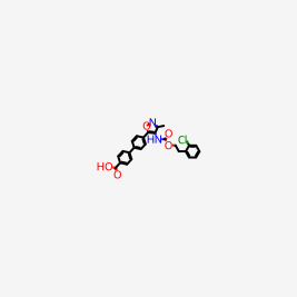 Cc1noc(-c2ccc(-c3ccc(C(=O)O)cc3)cc2)c1NC(=O)OCCc1ccccc1Cl